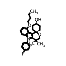 CCCCOc1cccc2c1c1c(n2-c2ccc(F)cc2)C(C)(C)CO[C@]12CC[C@@H](O)CC2